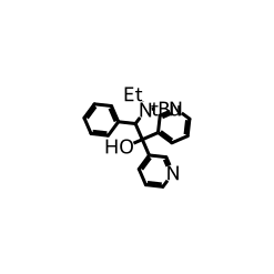 CCN(C(c1ccccc1)C(O)(c1cccnc1)c1cccnc1)C(C)(C)C